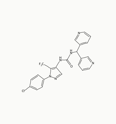 O=C(Nc1cnn(-c2ccc(Cl)cc2)c1C(F)(F)F)NC(c1cccnc1)c1cccnc1